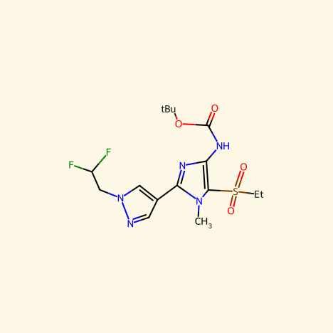 CCS(=O)(=O)c1c(NC(=O)OC(C)(C)C)nc(-c2cnn(CC(F)F)c2)n1C